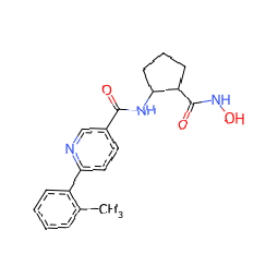 Cc1ccccc1-c1ccc(C(=O)NC2CCCC2C(=O)NO)cn1